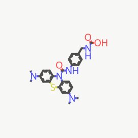 CN(C)c1ccc2c(c1)Sc1cc(N(C)C)ccc1N2C(=O)Nc1ccc(CNC(=O)O)cc1